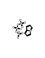 C1=CC2=CC=C[N+]2=C1.O=[SH](=O)OS(=O)(=O)OS(=O)(=O)[O-]